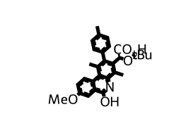 COc1ccc2c(c1)c(O)nc1c(C)c([C@H](OC(C)(C)C)C(=O)O)c(-c3ccc(C)cc3)c(C)c12